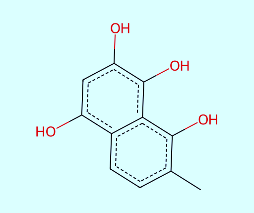 Cc1ccc2c(O)cc(O)c(O)c2c1O